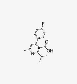 Cc1cc(-c2ccc(F)cc2)c(C(=O)O)c(C(C)C)n1